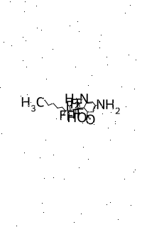 CCCCCCC(F)C(F)(F)C(F)(F)C(F)(F)C1C(N)=CC(N)=CC1C(=O)O